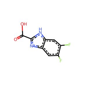 O=C(O)c1nc2cc(F)c(F)cc2[nH]1